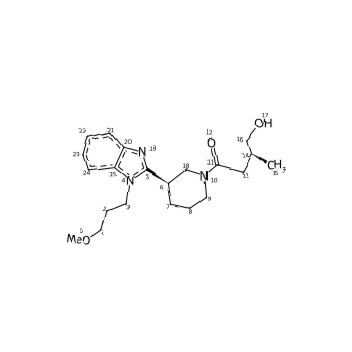 COCCCn1c([C@@H]2CCCN(C(=O)C[C@H](C)CO)C2)nc2ccccc21